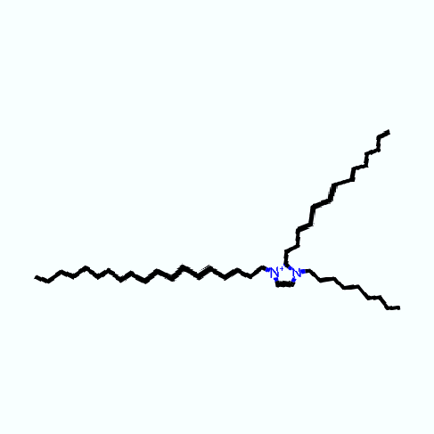 CCCCCCCCCCCCCCCCCCC[n+]1ccn(CCCCCCCCC)c1CCCCCCCCCCCCCC